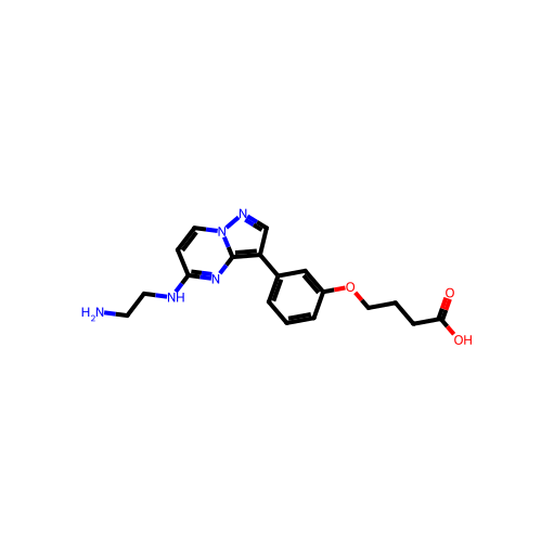 NCCNc1ccn2ncc(-c3cccc(OCCCC(=O)O)c3)c2n1